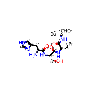 CC[C@H](C)[C@@H]([C]=O)NC(=O)[C@H](CC(C)C)NC(=O)[C@H](CO)NC(=O)[C@@H](N)Cc1c[nH]cn1